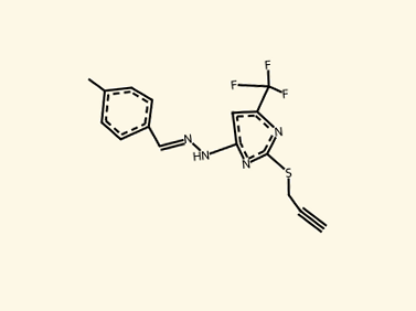 C#CCSc1nc(NN=Cc2ccc(C)cc2)cc(C(F)(F)F)n1